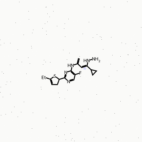 C=C(/C=C(\NN)C1CC1)Nc1nc(C2CC=C(CC)S2)ncc1F